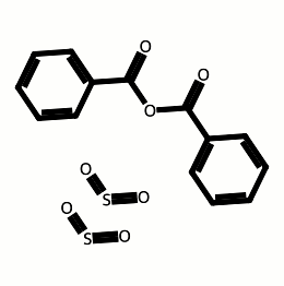 O=C(OC(=O)c1ccccc1)c1ccccc1.O=S=O.O=S=O